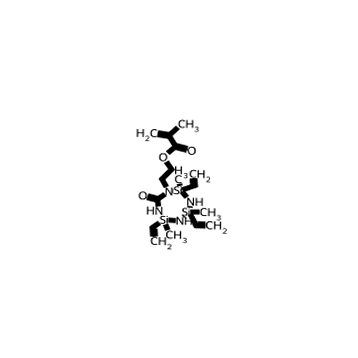 C=C[Si]1(C)NC(=O)N(CCOC(=O)C(=C)C)[Si](C)(C=C)N[Si](C)(C=C)N1